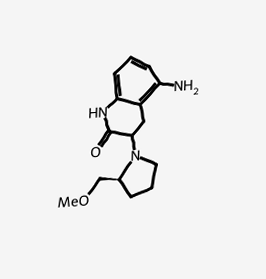 COC[C@@H]1CCCN1C1Cc2c(N)cccc2NC1=O